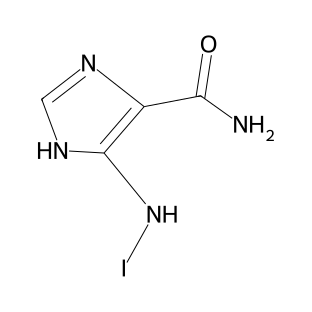 NC(=O)c1nc[nH]c1NI